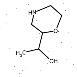 CC(O)C1CNCCO1